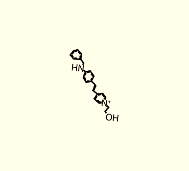 OCC[n+]1ccc(/C=C/c2ccc(NCc3ccccc3)cc2)cc1